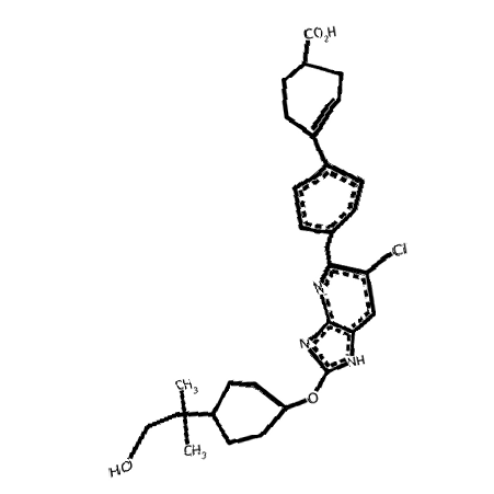 CC(C)(CO)C1CCC(Oc2nc3nc(-c4ccc(C5=CCC(C(=O)O)CC5)cc4)c(Cl)cc3[nH]2)CC1